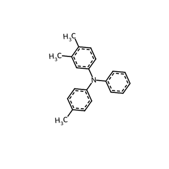 Cc1ccc(N(c2ccccc2)c2ccc(C)c(C)c2)cc1